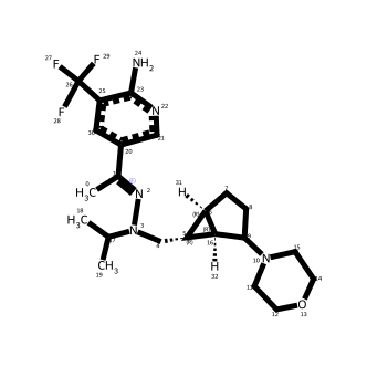 C/C(=N\N(C[C@@H]1[C@H]2CCC(N3CCOCC3)[C@H]21)C(C)C)c1cnc(N)c(C(F)(F)F)c1